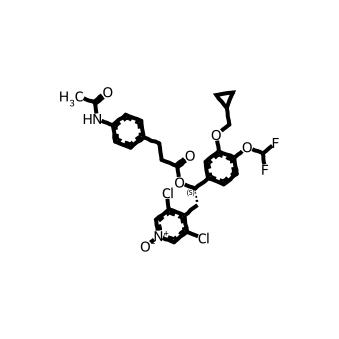 CC(=O)Nc1ccc(CCC(=O)O[C@@H](Cc2c(Cl)c[n+]([O-])cc2Cl)c2ccc(OC(F)F)c(OCC3CC3)c2)cc1